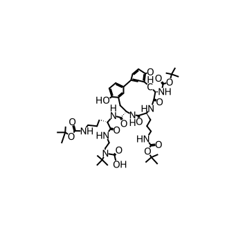 CC(C)(C)OC(=O)NCCC[C@H](NC(=O)[C@@H]1Cc2cc(ccc2O)-c2ccc(O)c(c2)C[C@H](NC(=O)OC(C)(C)C)C(=O)N[C@@H](CCCNC(=O)OC(C)(C)C)C(=O)N1)C(=O)NCCN(C(=O)O)C(C)(C)C